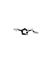 CC(C)(C)On1cc(N)cn1